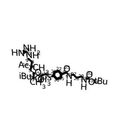 CC[C@@H](C)C(C)(C)[C@@H](C[C@](C)(CCNC(=N)N)C(C)=O)OC(=O)CSc1ccc(C(=O)NCCCNC(=O)OC(C)(C)C)cc1